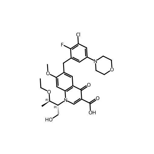 CCO[C@H](C)[C@@H](CO)n1cc(C(=O)O)c(=O)c2cc(Cc3cc(N4CCOCC4)cc(Cl)c3F)c(OC)cc21